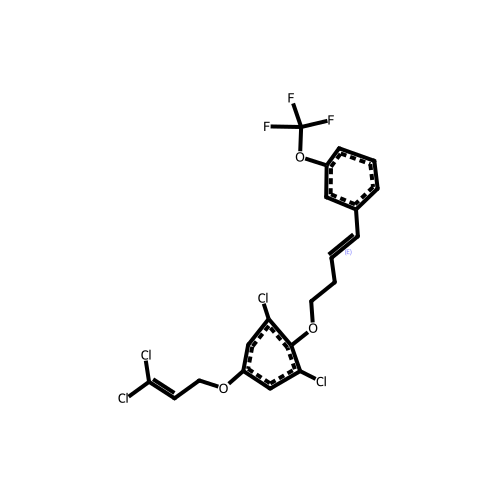 FC(F)(F)Oc1cccc(/C=C/CCOc2c(Cl)cc(OCC=C(Cl)Cl)cc2Cl)c1